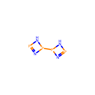 n1p[nH]p1-p1np[nH]1